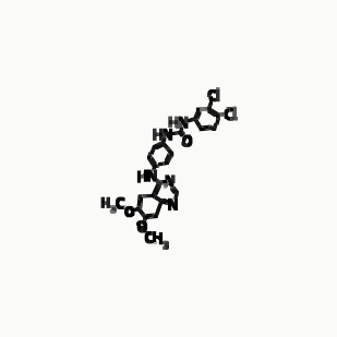 COc1cc2ncnc(Nc3ccc(NC(=O)Nc4ccc(Cl)c(Cl)c4)cc3)c2cc1OC